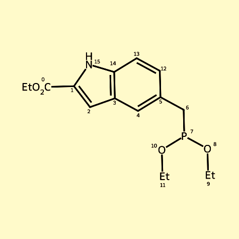 CCOC(=O)c1cc2cc(CP(OCC)OCC)ccc2[nH]1